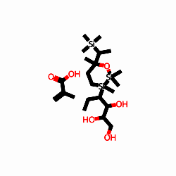 C=C(C)C(=O)O.CCC(C(O)C(O)CO)[Si]1(C)CCC(C)(C(C)[Si](C)(C)C)O[Si]1(C)C